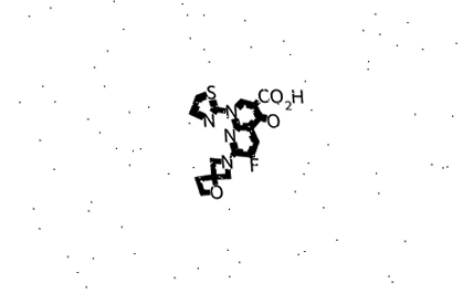 O=C(O)c1cn(-c2nccs2)c2nc(N3CC4(CCO4)C3)c(F)cc2c1=O